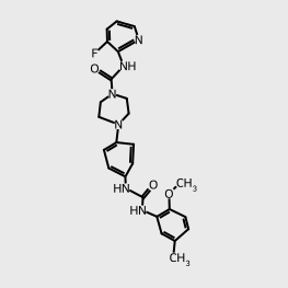 COc1ccc(C)cc1NC(=O)Nc1ccc(N2CCN(C(=O)Nc3ncccc3F)CC2)cc1